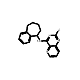 Clc1nc(NC2CCCCc3ccccc32)c2ncccc2n1